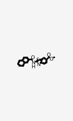 COC(=O)c1ccc2nc(NC(=O)c3ccc4ccccc4c3)sc2c1